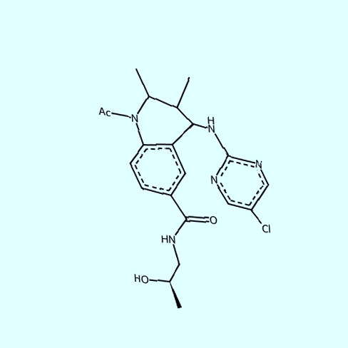 CC(=O)N1c2ccc(C(=O)NC[C@@H](C)O)cc2C(Nc2ncc(Cl)cn2)C(C)C1C